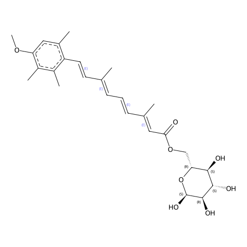 COc1cc(C)c(/C=C/C(C)=C/C=C/C(C)=C/C(=O)OC[C@H]2O[C@H](O)[C@H](O)[C@@H](O)[C@@H]2O)c(C)c1C